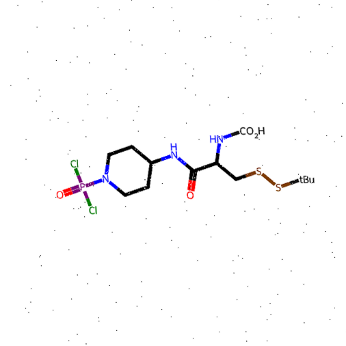 CC(C)(C)SSCC(NC(=O)O)C(=O)NC1CCN(P(=O)(Cl)Cl)CC1